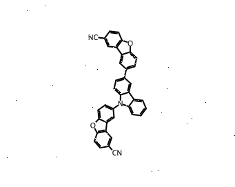 N#Cc1ccc2oc3ccc(-c4ccc5c(c4)c4ccccc4n5-c4ccc5oc6ccc(C#N)cc6c5c4)cc3c2c1